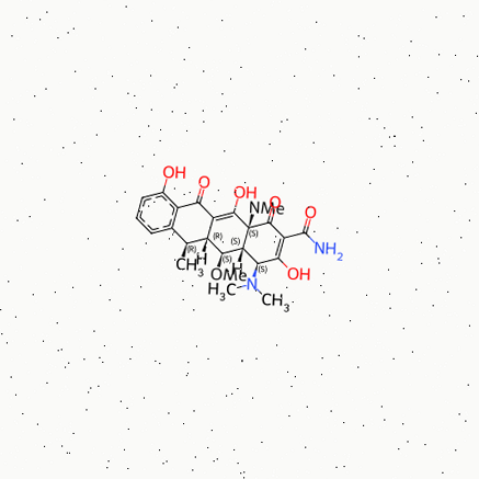 CN[C@@]12C(=O)C(C(N)=O)=C(O)[C@@H](N(C)C)[C@@H]1[C@@H](OC)[C@H]1C(=C2O)C(=O)c2c(O)cccc2[C@@H]1C